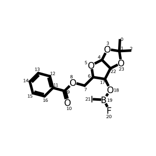 CC1(C)OC2OC(COC(=O)c3ccccc3)C(OB(F)I)C2O1